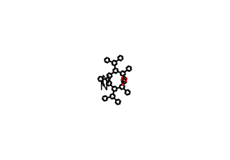 N#Cc1ccccc1-n1c2ccc(-c3cc(-c4cc(-c5ccccc5)cc(-c5ccccc5)c4)cc(-c4cc(-c5ccccc5)cc(-c5ccccc5)c4)c3)cc2c2cc(-c3cc(-c4cc(-c5ccccc5)cc(-c5ccccc5)c4)cc(-c4cc(-c5ccccc5)cc(-c5ccccc5)c4)c3)ccc21